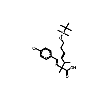 CC(C=CCCO[Si](C)(C)C(C)(C)C)C(C)(N=Cc1ccc(Cl)cc1)C(=O)O